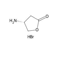 Br.N[C@H]1COC(=O)C1